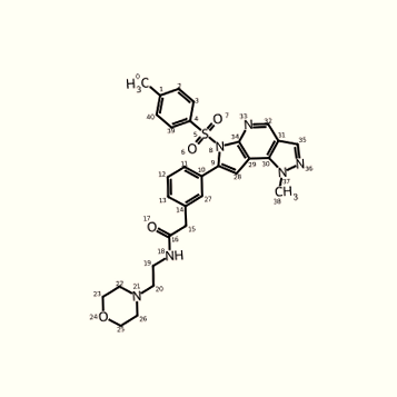 Cc1ccc(S(=O)(=O)n2c(-c3cccc(CC(=O)NCCN4CCOCC4)c3)cc3c4c(cnc32)cnn4C)cc1